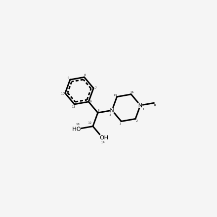 CN1CCN(C(c2ccccc2)C(O)O)CC1